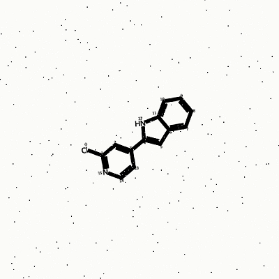 Clc1cc(-c2cc3ccccc3[nH]2)ccn1